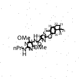 CCCNc1nc(OC)c(NC(=O)c2csc(Oc3cc4c(cc3C)CCC4(C)C)n2)c(OC)n1